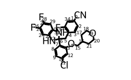 N#Cc1ccc(CC2(c3ccc(Cl)cc3OCC3CCOCC3)Nc3cc(F)c(F)cc3N2)c(F)c1